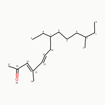 CCC(C)CCCC(CC)CC=CC(C)=CC(C)=O